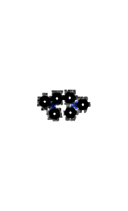 c1ccc(N(c2ccccc2)c2cccc(-c3ccc4c5ccccc5n(-c5ccccc5)c4c3)c2)cc1